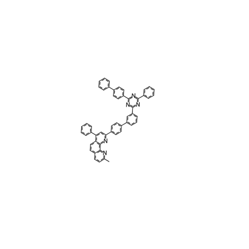 Cc1ccc2ccc3c(-c4ccccc4)cc(-c4ccc(-c5cccc(-c6nc(-c7ccccc7)nc(-c7ccc(-c8ccccc8)cc7)n6)c5)cc4)nc3c2n1